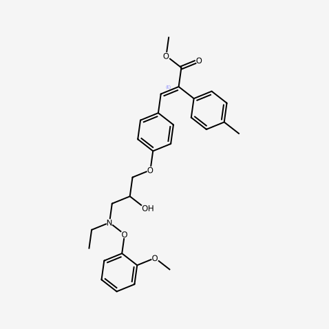 CCN(CC(O)COc1ccc(/C=C(/C(=O)OC)c2ccc(C)cc2)cc1)Oc1ccccc1OC